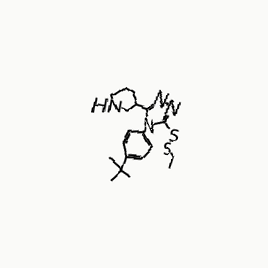 CCSSc1nnc(C2CCCNC2)n1-c1ccc(C(C)(C)C)cc1